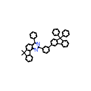 CC1(C)c2ccccc2-c2c1ccc1c(-c3ccccc3)nc(-c3cccc(-c4ccc5c(c4)-c4ccccc4C5(c4ccccc4)c4ccccc4)c3)nc21